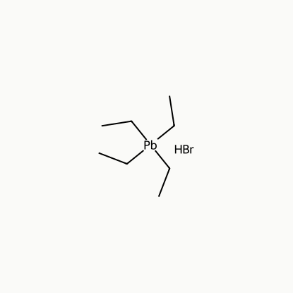 Br.C[CH2][Pb]([CH2]C)([CH2]C)[CH2]C